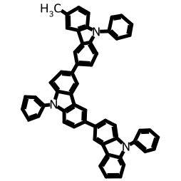 Cc1ccc2c(c1)c1cc(-c3ccc4c(c3)c3cc(-c5ccc6c(c5)c5ccccc5n6-c5ccccc5)ccc3n4-c3ccccc3)ccc1n2-c1ccccc1